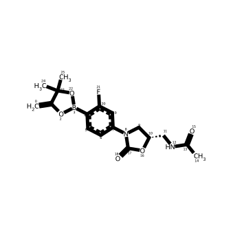 C=C1OB(c2ccc(N3C[C@H](CNC(C)=O)OC3=O)cc2F)OC1(C)C